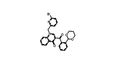 O=C(c1ccccc1C1OCCCO1)c1cn(Cc2cccc(Br)n2)c2ccccc2c1=O